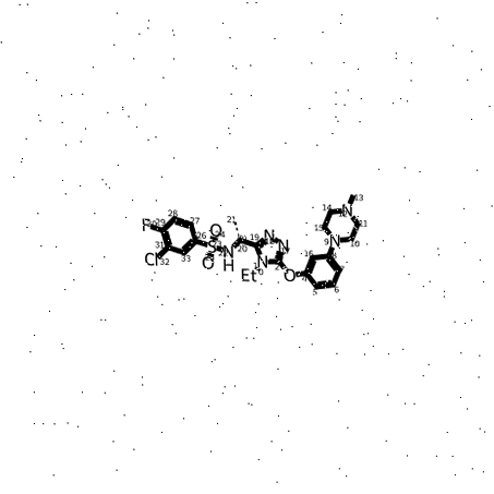 CCn1c(Oc2cccc(N3CCN(C)CC3)c2)nnc1[C@@H](C)NS(=O)(=O)c1ccc(F)c(Cl)c1